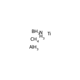 B.C.N.[AlH3].[Ti]